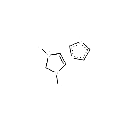 CCCCN1C=CN(C)C1.c1c[nH]cn1